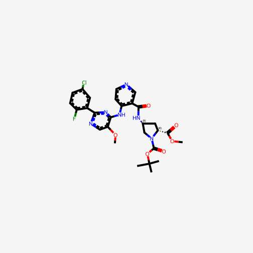 COC(=O)[C@H]1C[C@@H](NC(=O)c2cnccc2Nc2nc(-c3cc(Cl)ccc3F)ncc2OC)CN1C(=O)OC(C)(C)C